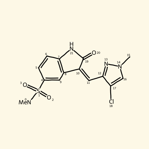 CNS(=O)(=O)c1ccc2c(c1)C(=Cc1nn(C)cc1Cl)C(=O)N2